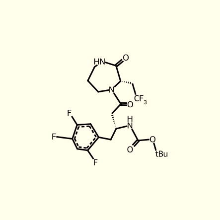 CC(C)(C)OC(=O)N[C@@H](CC(=O)N1CCCNC(=O)[C@@H]1CC(F)(F)F)Cc1cc(F)c(F)cc1F